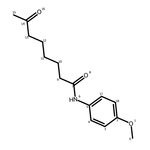 COc1ccc(NC(=O)CCCCCC(C)=O)cc1